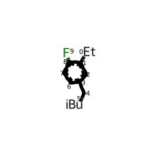 CCc1cc(CC(C)CC)ccc1F